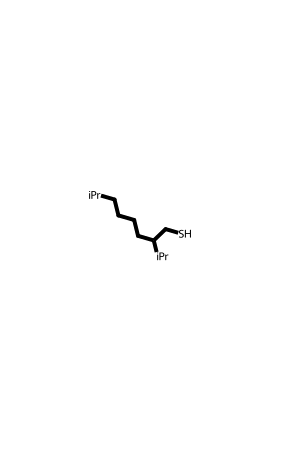 CC(C)CCCCC(CS)C(C)C